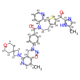 Cc1cnc(N2CC3(CCOCC3)C2)c(CN(N=O)c2ccc(C(=O)N3CCc4cc(C(=O)c5ncc(C)[nH]5)sc4-c4ncccc43)cc2)c1